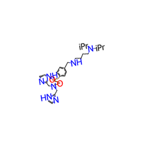 CC(C)N(CCCCNCc1ccc(S(=O)(=O)N(Cc2ncc[nH]2)Cc2ncc[nH]2)cc1)C(C)C